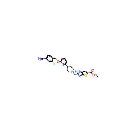 CCOC(=O)c1cc2[nH]c(CN3CCC(c4cccc(OCc5ccc(C#N)cc5F)n4)CC3)nc2s1